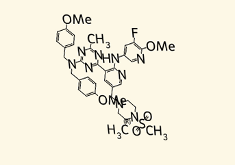 COc1ccc(CN(Cc2ccc(OC)cc2)c2nc(C)nc(-c3cc(CN4CCN(S(C)(=O)=O)[C@H](C)C4)cnc3Nc3cnc(OC)c(F)c3)n2)cc1